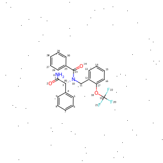 NC(=O)[C@@H](c1ccccc1)N(Cc1ccccc1OC(F)(F)F)C(=O)c1ccccc1